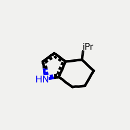 CC(C)C1CCCc2[nH]ccc21